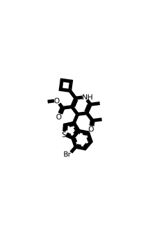 COC(=O)C1=C(C2CCC2)NC(C)=C(C(C)=O)C1c1csc2c(Br)cccc12